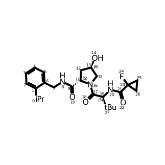 CC(C)c1ccccc1CNC(=O)[C@@H]1C[C@@H](O)CN1C(=O)[C@@H](NC(=O)C1(F)CC1)C(C)(C)C